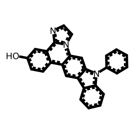 Oc1ccc2c3cc4c5ccccc5n(-c5ccccc5)c4cc3n3ccnc3c2c1